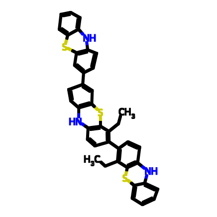 CCc1c(-c2ccc3c(c2CC)Sc2cc(-c4ccc5c(c4)Sc4ccccc4N5)ccc2N3)ccc2c1Sc1ccccc1N2